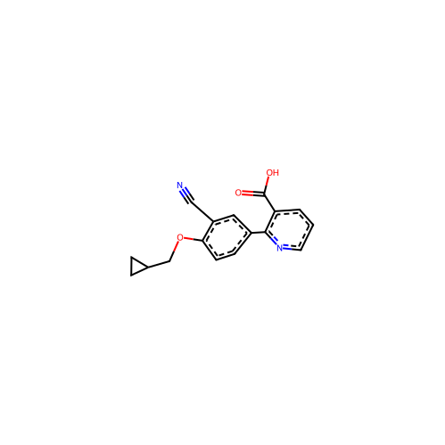 N#Cc1cc(-c2ncccc2C(=O)O)ccc1OCC1CC1